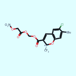 CC(C)(C)c1cc2c(cc1Cl)C=C(C(=O)OCOC(=O)CO[N+](=O)[O-])[C@@H](C(F)(F)F)O2